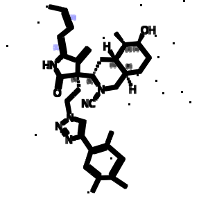 C=C1/C(=C\C=C/C)NC(=O)[C@]1(CCn1cc(-c2cc(C)c(C)cc2C)nn1)[C@@H]1C[C@H]2[C@@H](CC[C@H](O)[C@@H]2C)CN1C#N